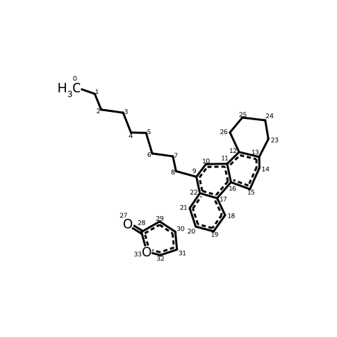 CCCCCCCCCc1cc2c3c(ccc2c2ccccc12)CCCC3.O=c1cccco1